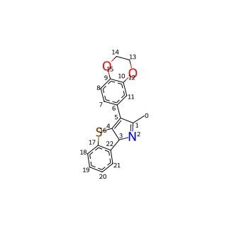 CC1=NC2C(=C1c1ccc3c(c1)OCCO3)Sc1ccccc12